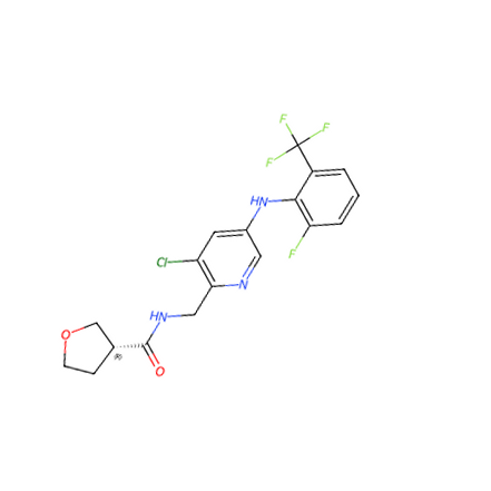 O=C(NCc1ncc(Nc2c(F)cccc2C(F)(F)F)cc1Cl)[C@@H]1CCOC1